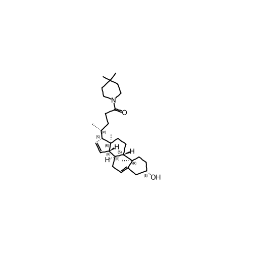 C[C@H](CCC(=O)N1CCC(C)(C)CC1)[C@H]1C=C[C@H]2[C@@H]3CC=C4C[C@@H](O)CC[C@]4(C)[C@H]3CC[C@]12C